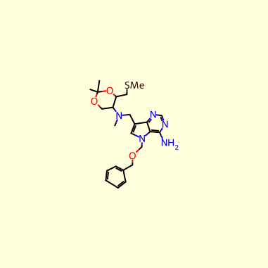 CSCC1OC(C)(C)OCC1N(C)Cc1cn(COCc2ccccc2)c2c(N)ncnc12